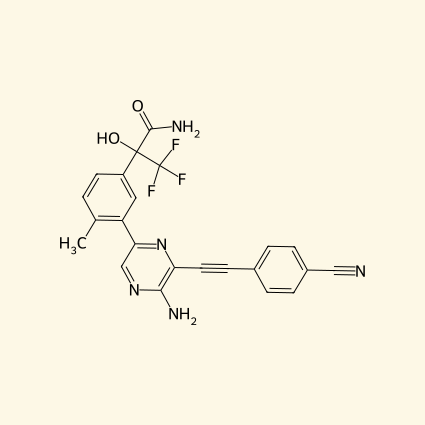 Cc1ccc(C(O)(C(N)=O)C(F)(F)F)cc1-c1cnc(N)c(C#Cc2ccc(C#N)cc2)n1